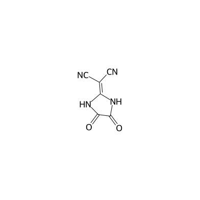 N#CC(C#N)=C1NC(=O)C(=O)N1